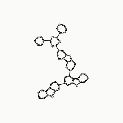 c1ccc(-c2nc(-c3ccccc3)nc(-c3ccc4c(c3)sc3ccc(-c5cc(-c6ccc7c(c6)oc6ccccc67)cc6oc7ccccc7c56)cc34)n2)cc1